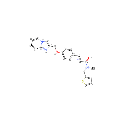 CCN(Cc1cccs1)C(=O)/C=C/c1ccc(OCc2cn3ccccc3n2)cc1